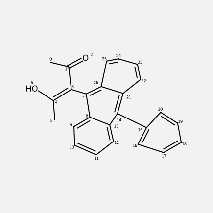 CC(=O)/C(=C(/C)O)c1c2ccccc2c(-c2ccccc2)c2ccccc12